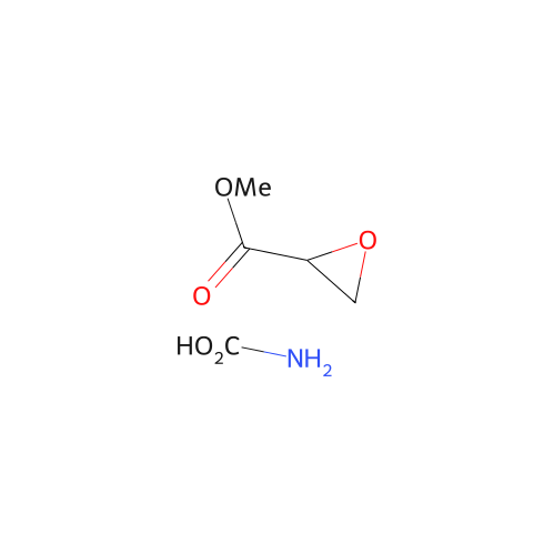 COC(=O)C1CO1.NC(=O)O